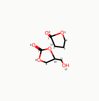 O=C1CCCO1.O=C1OCC(CO)O1